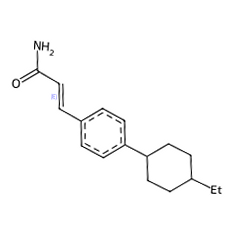 CCC1CCC(c2ccc(/C=C/C(N)=O)cc2)CC1